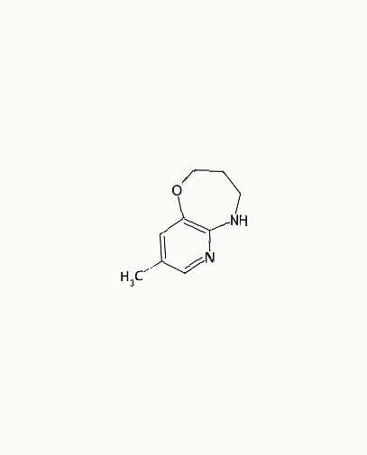 Cc1cnc2c(c1)OCCCN2